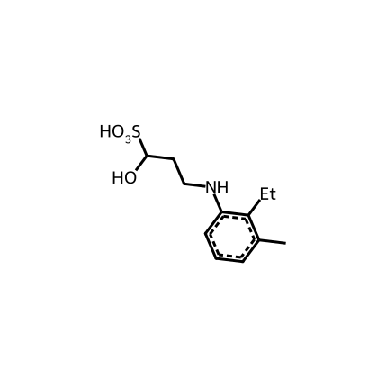 CCc1c(C)cccc1NCCC(O)S(=O)(=O)O